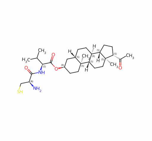 CC(=O)[C@H]1CC[C@H]2[C@@H]3CC[C@H]4C[C@H](OC(=O)[C@@H](NC(=O)[C@@H](N)CS)C(C)C)CC[C@]4(C)[C@H]3CC[C@]12C